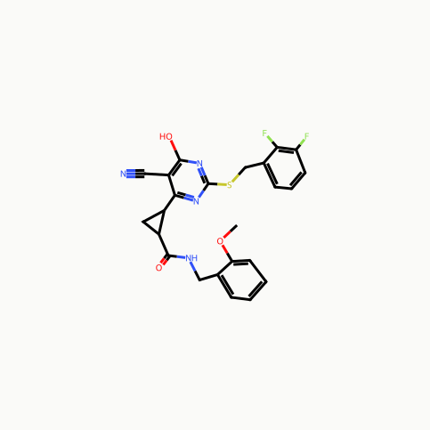 COc1ccccc1CNC(=O)C1CC1c1nc(SCc2cccc(F)c2F)nc(O)c1C#N